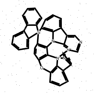 c1ccc2c(c1)-c1ccccc1[Si]21c2ccc3c4c2-n2c5c1cccc5c1cnc[n+](c12)[N+]41c2c(cccc2-c2cccc[n+]21)O3